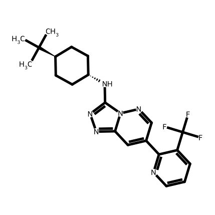 CC(C)(C)[C@H]1CC[C@H](Nc2nnc3cc(-c4ncccc4C(F)(F)F)cnn23)CC1